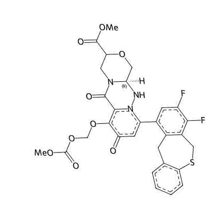 COC(=O)OCOc1c2n(c(-c3cc(F)c(F)c4c3Cc3ccccc3SC4)cc1=O)N[C@@H]1COC(C(=O)OC)CN1C2=O